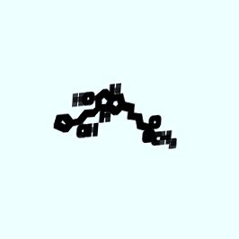 COC(=O)CCCC=C1C[C@@H]2C[C@@H](O)[C@H](C=C[C@H](O)C3CCCC3)[C@H]2C1